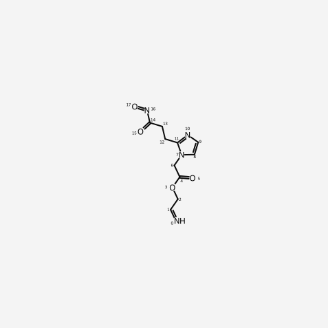 N=CCOC(=O)Cn1ccnc1CCC(=O)N=O